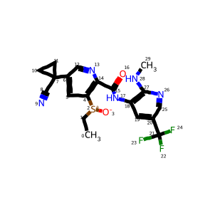 CC[S+]([O-])c1cc(C2(C#N)CC2)cnc1C(=O)Nc1cc(C(F)(F)F)cnc1NC